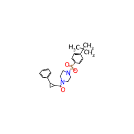 CC(C)(C)c1ccc(S(=O)(=O)N2CCN(C(=O)C3CC3c3ccccc3)CC2)cc1